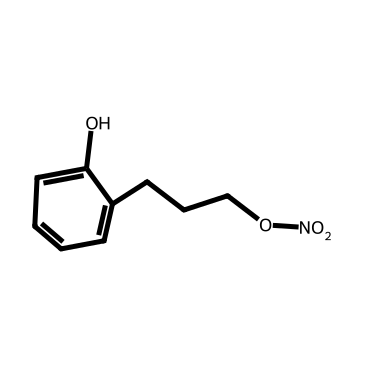 O=[N+]([O-])OCCCc1ccccc1O